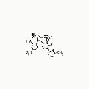 Cc1ccnc(C2=C(F)C(=O)C(c3c(C(=O)O)[nH]c(C)c3-c3ccc([N+](=O)[O-])cc3C)C=C2)n1